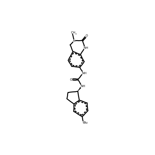 CN1Cc2ccc(NC(=O)N[C@@H]3CCc4cc(C(C)(C)C)ccc43)cc2NC1=O